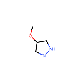 COC1C[N]NC1